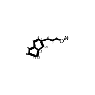 [N]OCCCc1ccc2ccccc2c1